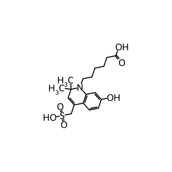 CC1(C)C=C(CS(=O)(=O)O)c2ccc(O)cc2N1CCCCCC(=O)O